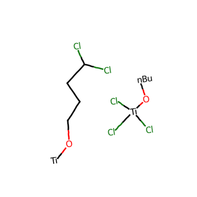 CCCC[O][Ti]([Cl])([Cl])[Cl].ClC(Cl)CCC[O][Ti]